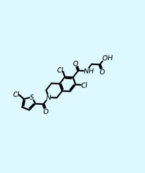 O=C(O)CNC(=O)c1c(Cl)cc2c(c1Cl)CCN(C(=O)c1ccc(Cl)s1)C2